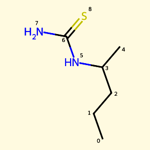 CCCC(C)NC(N)=S